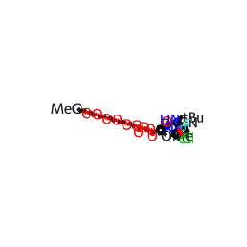 COCCOCCOCCOCCOCCOCCOC(=O)OCOC(=O)c1ccc(NC(=O)[C@@H]2NC(CC(C)(C)C)[C@](C#N)(c3ccc(Cl)cc3F)[C@H]2c2cccc(Cl)c2F)c(OC)c1